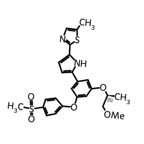 COC[C@H](C)Oc1cc(Oc2ccc(S(C)(=O)=O)cc2)cc(-c2ccc(-c3ncc(C)s3)[nH]2)c1